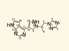 CC(Cn1cncn1)N1CC(c2ncnc3[nH]ccc23)=CN1